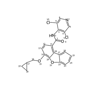 O=C(Nc1c(Cl)cncc1Cl)c1ccc(OCC2CC2)c2oc3ccccc3c12